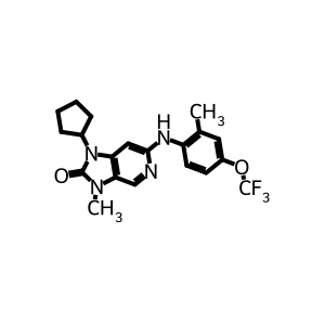 Cc1cc(OC(F)(F)F)ccc1Nc1cc2c(cn1)n(C)c(=O)n2C1CCCC1